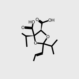 CC=CC1(C(C)C)O[C@H](C(=O)O)[C@](C(=O)O)(C(C)C)O1